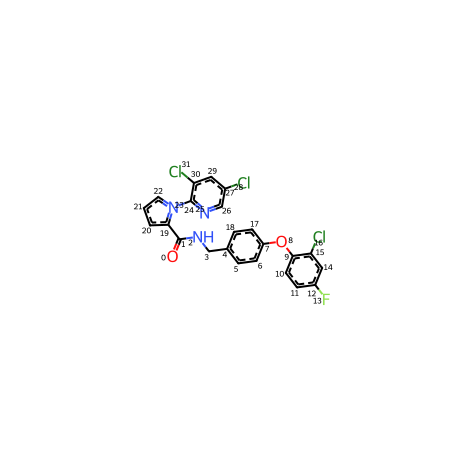 O=C(NCc1ccc(Oc2ccc(F)cc2Cl)cc1)c1cccn1-c1ncc(Cl)cc1Cl